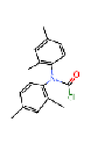 Cc1ccc(N(C(=O)Cl)c2ccc(C)cc2C)c(C)c1